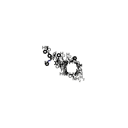 CNC(=O)c1ccccc1Sc1ccc2c(/C=C/c3ccccn3)nn(C(=O)N(C)c3c(F)cccc3COC(=O)C(C)C(C)C(=O)N[C@H](C(=O)N[C@@H](CCN)C(=O)N[C@H]3CCNC(=O)[C@H]([C@@H](C)O)NC(=O)[C@H](CCN)NC(=O)[C@H](CCN)NC(=O)[C@H](CC(C)C)NC(=O)[C@@H](Cc4ccccc4)NC(=O)[C@H](CCN)NC3=O)[C@@H](C)O)c2c1